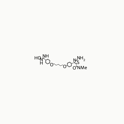 CNC(=O)c1sc(N)nc1-c1ccc(OCCCCCOc2ccc(C(=N)NO)cc2)cc1